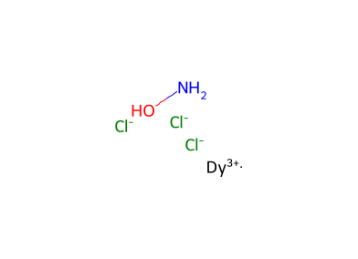 NO.[Cl-].[Cl-].[Cl-].[Dy+3]